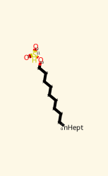 CCCCCCCCCCCCCCCCO[SH](=O)=O